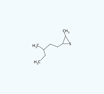 CCC(C)CCC1SC1C